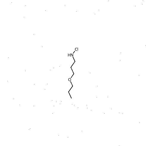 CCCOCCCNCl